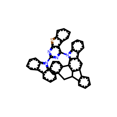 c1ccc2c(c1)CC1c3ccccc3-c3cc4c5ccccc5n(-c5nc(-n6c7ccccc7c7ccccc76)nc6sc7ccccc7c56)c4c-2c31